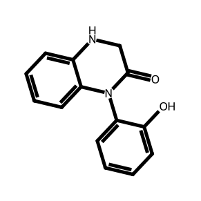 O=C1CNc2ccccc2N1c1ccccc1O